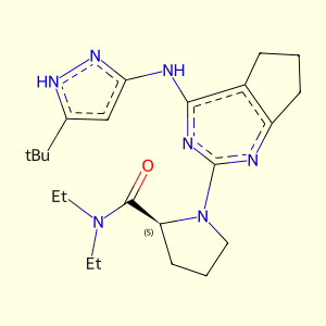 CCN(CC)C(=O)[C@@H]1CCCN1c1nc2c(c(Nc3cc(C(C)(C)C)[nH]n3)n1)CCC2